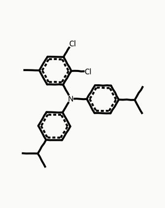 Cc1cc(Cl)c(Cl)c(N(c2ccc(C(C)C)cc2)c2ccc(C(C)C)cc2)c1